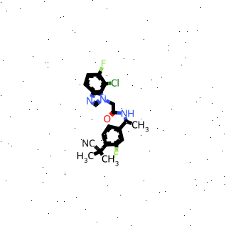 CC(NC(=O)Cn1cnc2ccc(F)c(Cl)c21)c1ccc(C(C)(C)C#N)c(F)c1